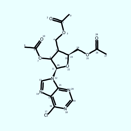 CC(=O)OCC1C(OC(C)=O)[C@H](n2cnc3c(Cl)ncnc32)O[C@@H]1COC(C)=O